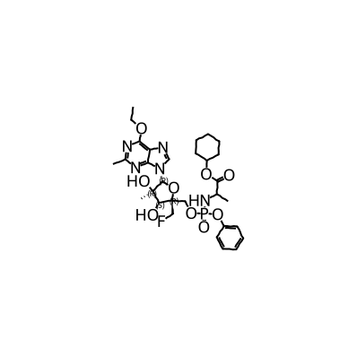 CCOc1nc(C)nc2c1ncn2[C@@H]1O[C@](CF)(COP(=O)(NC(C)C(=O)OC2CCCCC2)Oc2ccccc2)[C@@H](O)[C@@]1(C)O